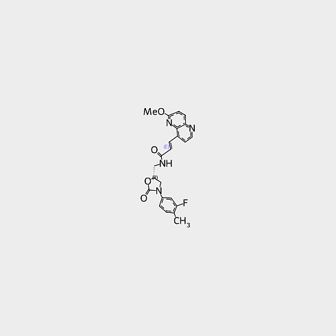 COc1ccc2nccc(/C=C/C(=O)NC[C@@H]3CN(c4ccc(C)c(F)c4)C(=O)O3)c2n1